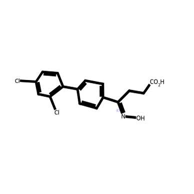 O=C(O)CC/C(=N\O)c1ccc(-c2ccc(Cl)cc2Cl)cc1